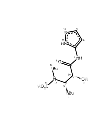 CCCC[C@@H]([C@@H](O)C(=O)Nc1ccn[nH]1)N(C(=O)O)C(C)(C)C